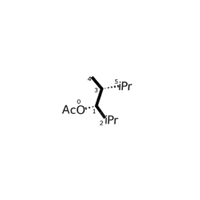 CC(=O)O[C@@H](C(C)C)[C@H](C)C(C)C